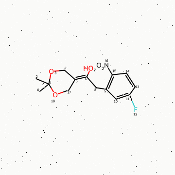 CC1(C)OCC(=C(O)Cc2cc(F)ccc2[N+](=O)[O-])CO1